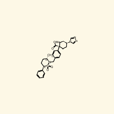 COC(=O)[C@]1(c2ccc(CN3[C@@H](C)CC[C@H](c4ccccc4)S3(=O)=O)cc2)CC[C@H](n2cnnc2)CC1